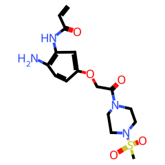 C=CC(=O)Nc1cc(OCC(=O)N2CCN(S(C)(=O)=O)CC2)ccc1N